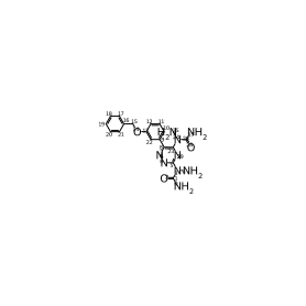 NC(=O)N(N)c1nnc(-c2cccc(OCc3ccccc3)c2)c(N(N)C(N)=O)n1